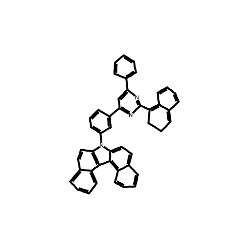 C1=c2ccccc2=C(c2nc(-c3ccccc3)cc(-c3cccc(-n4c5ccc6ccccc6c5c5c6ccccc6ccc54)c3)n2)CC1